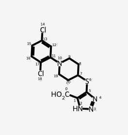 O=C(O)c1[nH]nnc1SC1CCN(c2cc(Cl)ccc2Cl)CC1